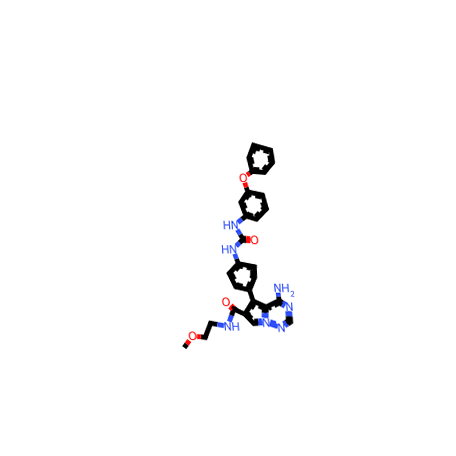 COCCNC(=O)c1cn2ncnc(N)c2c1-c1ccc(NC(=O)Nc2cccc(Oc3ccccc3)c2)cc1